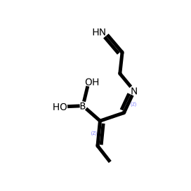 C/C=C(\C=N/CC=N)B(O)O